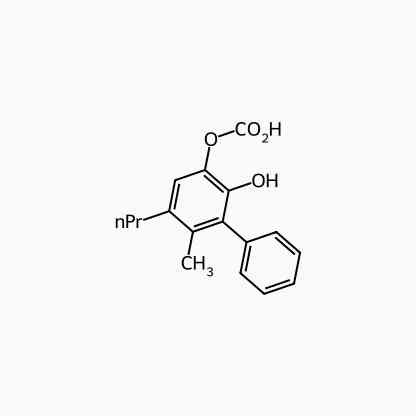 CCCc1cc(OC(=O)O)c(O)c(-c2ccccc2)c1C